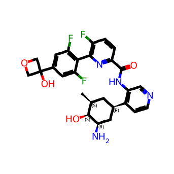 C[C@H]1C[C@@H](c2ccncc2NC(=O)c2ccc(F)c(-c3c(F)cc(C4(O)COC4)cc3F)n2)C[C@@H](N)[C@H]1O